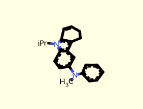 CC(C)n1c2c(c3cc(N(C)c4ccccc4)ccc31)CCC=C2